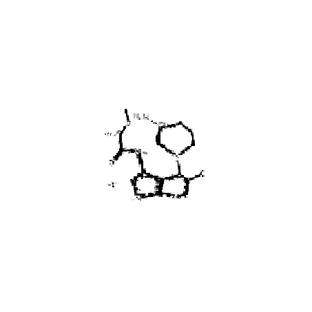 CO[C@@H](C)C(=O)Nc1c[nH]c2ncc(Cl)c(N3CCC[C@@H](N)C3)c12.Cl